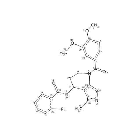 COc1ccc(C(=O)N2CCC(NC(=O)c3ccccc3F)c3c2cnn3C)cc1OC